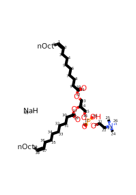 CCCCCCCC/C=C\CCCCCCCC(=O)OCC(COP(=O)(O)OCC[N+](C)(C)C)OC(=O)CCCCCCC/C=C\CCCCCCCC.[NaH]